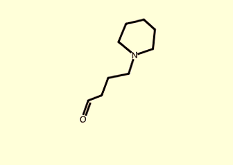 O=CCCCN1CCCCC1